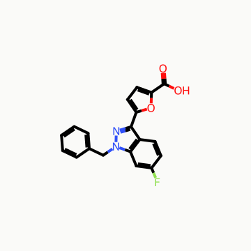 O=C(O)c1ccc(-c2nn(Cc3ccccc3)c3cc(F)ccc23)o1